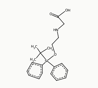 CC(C)(C)[Si](OCCNCC(=O)O)(c1ccccc1)c1ccccc1